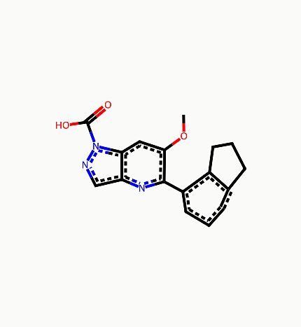 COc1cc2c(cnn2C(=O)O)nc1-c1cccc2c1CCC2